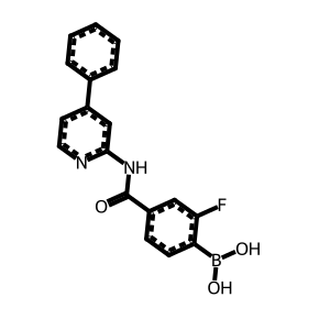 O=C(Nc1cc(-c2ccccc2)ccn1)c1ccc(B(O)O)c(F)c1